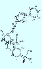 Cc1nn(Cc2ccc(C(F)(F)F)cc2C(F)(F)F)cc1C#Cc1nnc(-c2ccccn2)s1